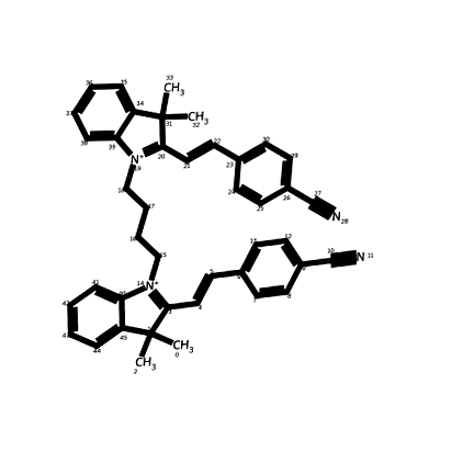 CC1(C)C(/C=C/c2ccc(C#N)cc2)=[N+](CCCC[N+]2=C(/C=C/c3ccc(C#N)cc3)C(C)(C)c3ccccc32)c2ccccc21